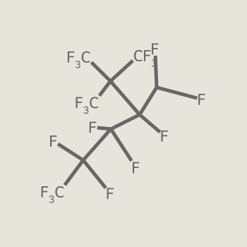 FC(F)C(F)(C(F)(F)C(F)(F)C(F)(F)F)C(C(F)(F)F)(C(F)(F)F)C(F)(F)F